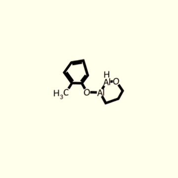 Cc1ccccc1[O][Al]1[CH2]CC[O][AlH]1